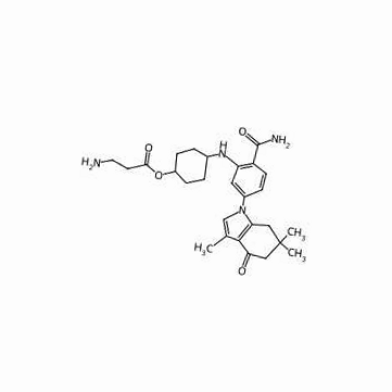 Cc1cn(-c2ccc(C(N)=O)c(NC3CCC(OC(=O)CCN)CC3)c2)c2c1C(=O)CC(C)(C)C2